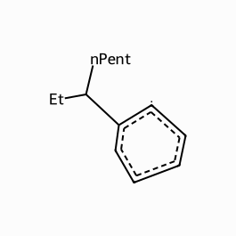 CCCCCC(CC)c1[c]cccc1